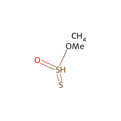 C.CO[SH](=O)=S